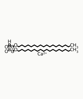 CCCCCCCCCCCCCCCCCCOOB[O-].CCCCCCCCCCCCCCCCCCOOB[O-].[Ca+2]